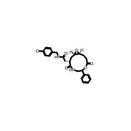 O=C(C[C@@H]1C[C@@H]2O[C@H]2CCC(=O)OC(c2ccccc2)CNC1=O)NCc1ccc(Cl)cc1